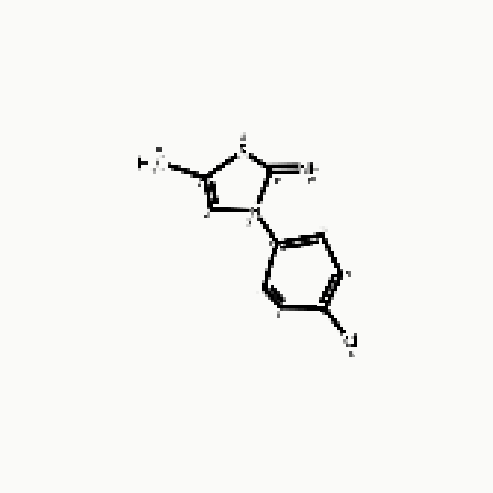 Cc1cn(-c2ccc(Cl)cc2)c(=N)s1